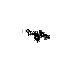 COC(=O)Cc1ccc(Nc2c(C(=O)NOCCO)ccc(F)c2F)c(F)c1